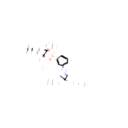 CC1(C(=O)O)CN(c2cccc(B3OC(C)(C)C(C)(C)O3)c2)C1